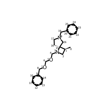 C[C@H]1CN(COCOCc2ccccc2)[C@]12CCN(Cc1ccccc1)C2